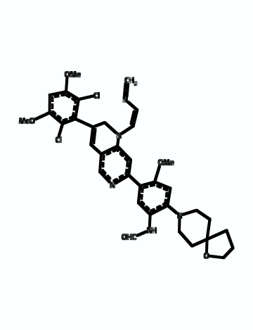 C=N/C=C\N1CC(c2c(Cl)c(OC)cc(OC)c2Cl)=Cc2cnc(-c3cc(NC=O)c(N4CCC5(CCCO5)CC4)cc3OC)cc21